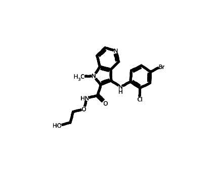 Cn1c(C(=O)NOCCO)c(Nc2ccc(Br)cc2Cl)c2cnccc21